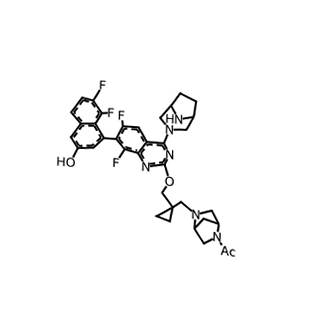 CC(=O)N1CC2CC1CN2CC1(COc2nc(N3CC4CCC(C3)N4)c3cc(F)c(-c4cc(O)cc5ccc(F)c(F)c45)c(F)c3n2)CC1